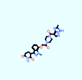 Cc1nc2c(C(=O)N3CCN(C(=O)COc4cccc5c(C6CCC(=O)NC6=O)nn(C)c45)CC3)cnn2[nH]1